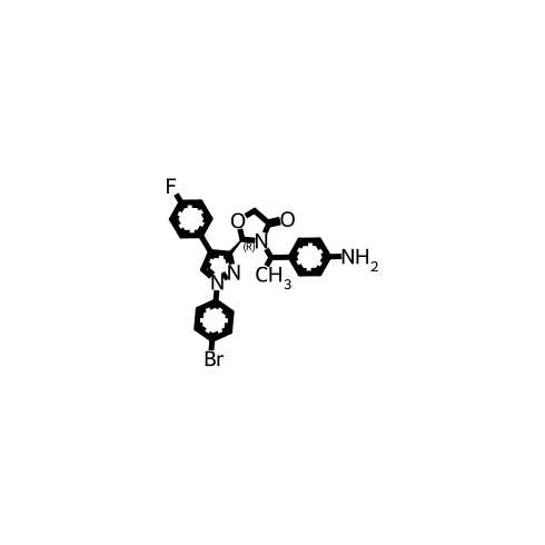 CC(c1ccc(N)cc1)N1C(=O)CO[C@@H]1c1nn(-c2ccc(Br)cc2)cc1-c1ccc(F)cc1